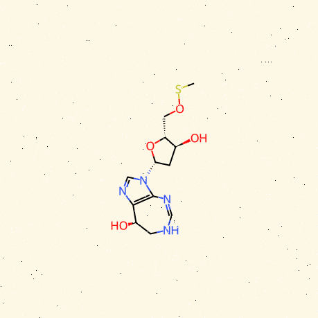 CSOC[C@H]1O[C@@H](n2cnc3c2N=CNC[C@H]3O)C[C@@H]1O